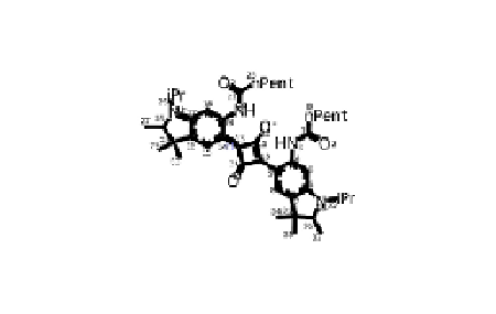 CCCCCC(=O)Nc1cc2c(cc1C1=C([O-])/C(=c3/cc4c(cc3NC(=O)CCCCC)=[N+](C(C)C)C(C)C4(C)C)C1=O)C(C)(C)C(C)N2C(C)C